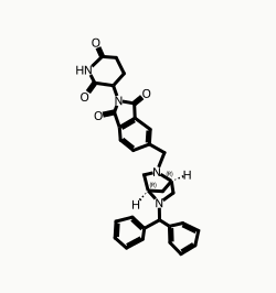 O=C1CCC(N2C(=O)c3ccc(CN4C[C@H]5C[C@@H]4CN5C(c4ccccc4)c4ccccc4)cc3C2=O)C(=O)N1